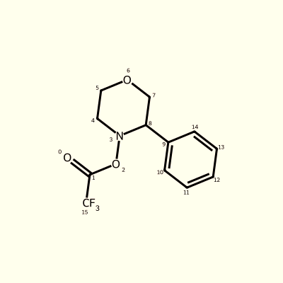 O=C(ON1CCOCC1c1ccccc1)C(F)(F)F